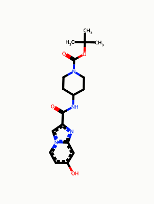 CC(C)(C)OC(=O)N1CCC(NC(=O)c2cn3ccc(O)cc3n2)CC1